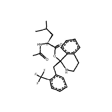 CC(=O)N[C@@H](CC(C)C)C(=O)OC1(Cc2ccccc2C(F)(F)F)NCCc2ccccc21